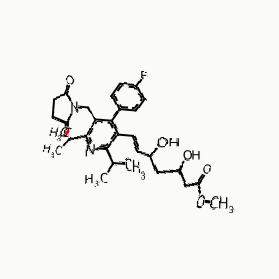 COC(=O)CC(O)CC(O)C=Cc1c(C(C)C)nc(C(C)C)c(CN2C(=O)CCC2=O)c1-c1ccc(F)cc1